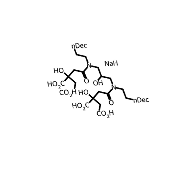 CCCCCCCCCCCCN(CC(O)CN(CCCCCCCCCCCC)C(=O)CC(O)(CC(=O)O)C(=O)O)C(=O)CC(O)(CC(=O)O)C(=O)O.[NaH]